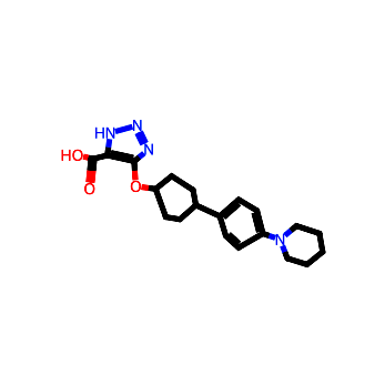 O=C(O)c1[nH]nnc1OC1CCC(c2ccc(N3CCCCC3)cc2)CC1